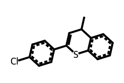 CC1C=C(c2ccc(Cl)cc2)Sc2ccccc21